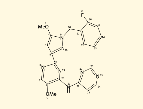 COc1cnc(-c2cc(OC)n(Cc3ccccc3F)n2)nc1Nc1ccncn1